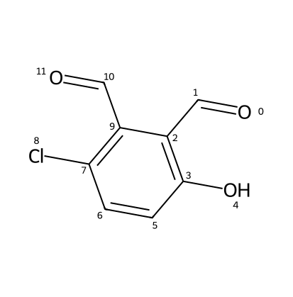 O=Cc1c(O)ccc(Cl)c1C=O